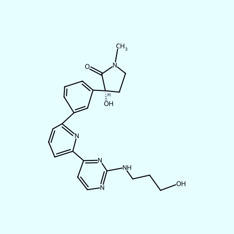 CN1CC[C@@](O)(c2cccc(-c3cccc(-c4ccnc(NCCCO)n4)n3)c2)C1=O